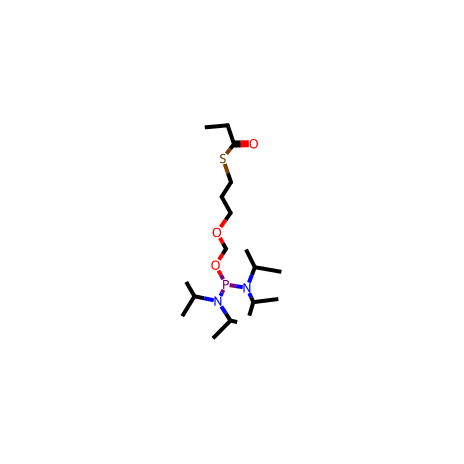 CCC(=O)SCCCOCOP(N(C(C)C)C(C)C)N(C(C)C)C(C)C